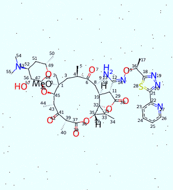 CO[C@]1(C)C[C@@H](C)C(=O)[C@H](C)[C@H]2[C@H](/C(N)=N/O[C@@H](C)c3nnc(-c4ccccn4)s3)C(=O)O[C@@]23C(C)[C@@H]3OC(=O)[C@H](C)C(=O)[C@H](C)[C@H]1O[C@@H]1O[C@@H](C)C[C@H](N(C)C)[C@H]1O